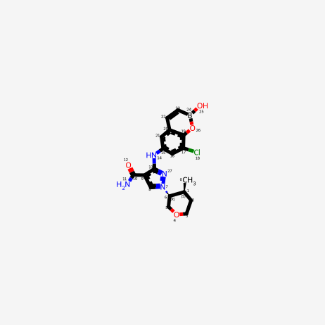 C[C@H]1CCOC[C@@H]1n1cc(C(N)=O)c(Nc2cc(Cl)c3c(c2)C=CB(O)O3)n1